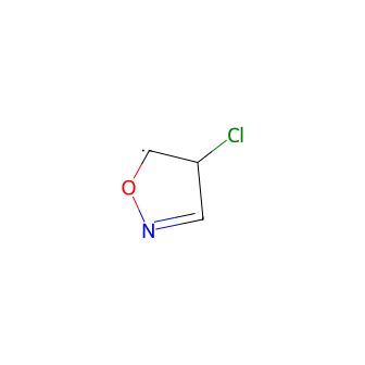 ClC1[CH]ON=C1